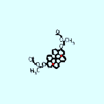 CC(COc1cccc2c(C3(c4cccc5c(OCC(C)OCC6CO6)cccc45)c4ccccc4-c4ccccc43)cccc12)OCC1CO1